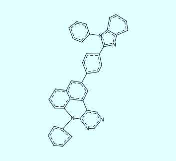 c1ccc(N2c3ncncc3-c3cc(-c4ccc(-c5nc6ccccc6n5-c5ccccc5)cc4)cc4cccc2c34)cc1